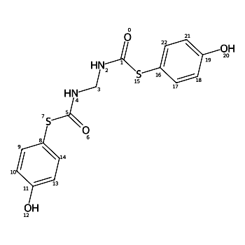 O=C(NCNC(=O)Sc1ccc(O)cc1)Sc1ccc(O)cc1